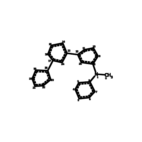 CN(c1ccccc1)c1cccc(-c2cccc(-c3ccccc3)c2)c1